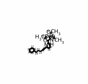 CC(=O)NC(COC(C)=O)C(OC(C)=O)c1cccc(C#CCCCc2ccccc2)n1